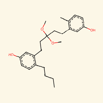 CCCCc1ccc(O)cc1CCC(CCc1cc(O)ccc1C)(OC)OC